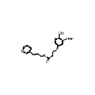 COc1cc(CCCC(=O)OCCCc2cccnc2)ccc1O